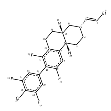 CC/C=C/[C@@H]1CC[C@@H]2c3cc(F)c(-c4cc(F)c(Cl)c(F)c4)c(F)c3CC[C@@H]2C1